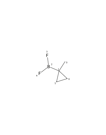 CC1(B(F)F)CC1